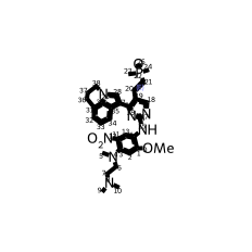 COc1cc(N(C)CCN(C)C)c([N+](=O)[O-])cc1Nc1ncc(/C=C/P(C)(C)=O)c(-c2cn3c4c(cccc24)CCC3)n1